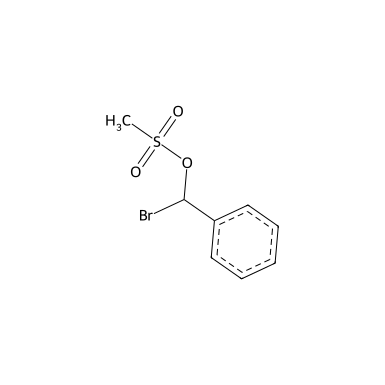 CS(=O)(=O)OC(Br)c1ccccc1